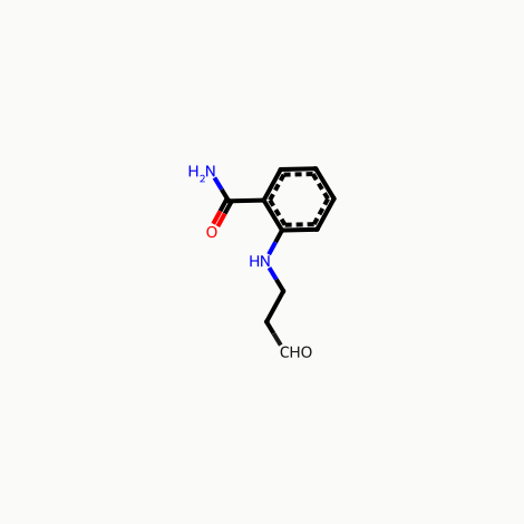 NC(=O)c1ccccc1NCCC=O